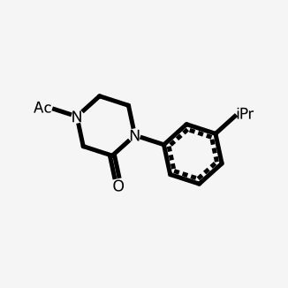 CC(=O)N1CCN(c2cccc(C(C)C)c2)C(=O)C1